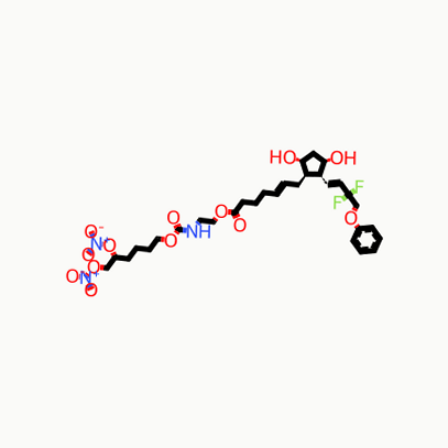 O=C(CCC/C=C/C[C@@H]1[C@@H](/C=C/C(F)(F)COc2ccccc2)[C@H](O)C[C@@H]1O)OCCNC(=O)OCCCCC(CO[N+](=O)[O-])O[N+](=O)[O-]